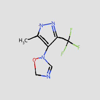 CC1=C(N2C=NCO2)C(C(F)(F)F)=N[N]1